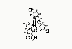 CC(NC(=O)c1cc(Cl)ccc1OCc1ccc(Cl)cc1F)c1ccc(C(=O)O)cc1